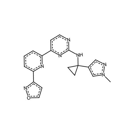 Cn1cc(C2(Nc3nccc(-c4cccc(-c5ccon5)n4)n3)CC2)cn1